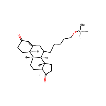 CC(C)(C)[Si](C)(C)OCCCCC[C@@H]1CC2=CC(=O)CC[C@@H]2[C@H]2CC[C@]3(C)C(=O)CC[C@H]3[C@H]12